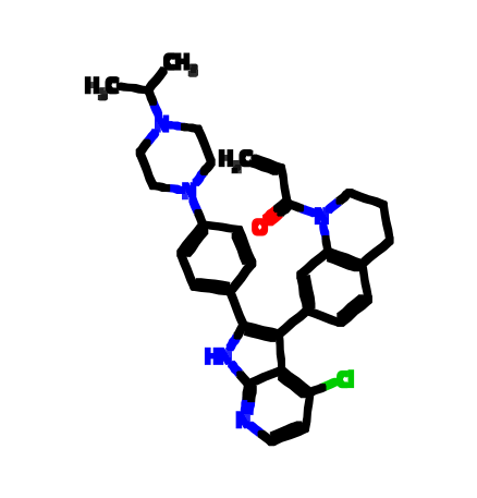 C=CC(=O)N1CCCc2ccc(-c3c(-c4ccc(N5CCN(C(C)C)CC5)cc4)[nH]c4nccc(Cl)c34)cc21